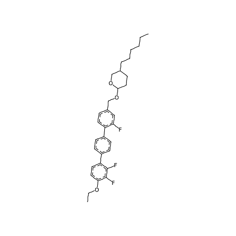 CCCCCCC1CCC(OCc2ccc(-c3ccc(-c4ccc(OCC)c(F)c4F)cc3)c(F)c2)OC1